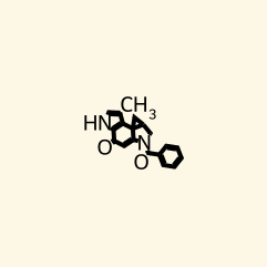 Cc1c[nH]c2c1C13CC1CN(C(=O)c1ccccc1)C3=CC2=O